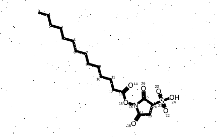 CCCCCCCCCCCCCC(=O)ON1C(=O)CC(S(=O)(=O)O)C1=O